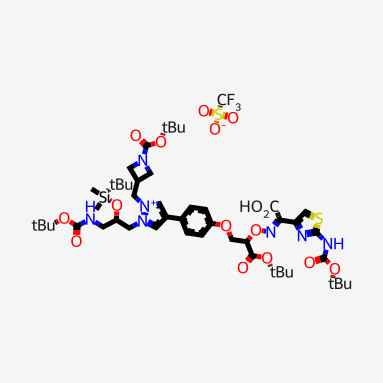 CC(C)(C)OC(=O)NCC(Cn1cc(-c2ccc(OCC(O/N=C(\C(=O)O)c3csc(NC(=O)OC(C)(C)C)n3)C(=O)OC(C)(C)C)cc2)c[n+]1CC1CN(C(=O)OC(C)(C)C)C1)O[Si](C)(C)C(C)(C)C.O=S(=O)([O-])C(F)(F)F